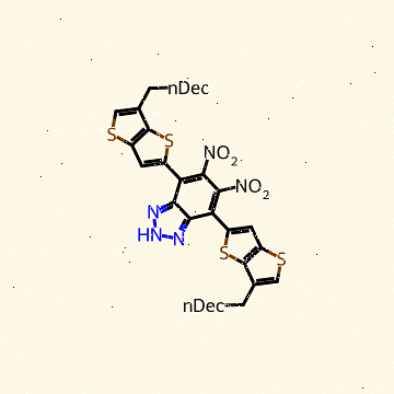 CCCCCCCCCCCc1csc2cc(-c3c([N+](=O)[O-])c([N+](=O)[O-])c(-c4cc5scc(CCCCCCCCCCC)c5s4)c4n[nH]nc34)sc12